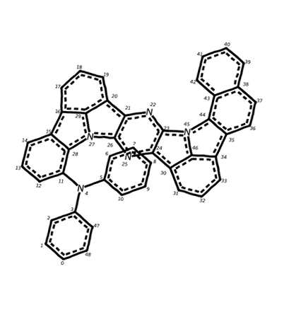 c1ccc(N(c2ccccc2)c2cccc3c4cccc5c6nc7c(nc6n(c23)c45)c2cccc3c4ccc5ccccc5c4n7c32)cc1